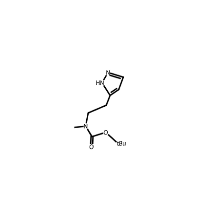 CN(CCc1ccn[nH]1)C(=O)OC(C)(C)C